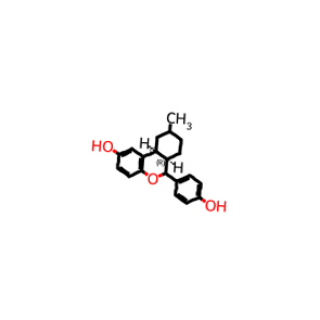 CC1CC[C@H]2C(c3ccc(O)cc3)Oc3ccc(O)cc3[C@H]2C1